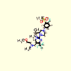 COCCN(C)Cc1cnc(N2CCN(c3ccc(F)c(S(C)(=O)=O)c3)CC2C(C)C)nc1C(F)(F)F